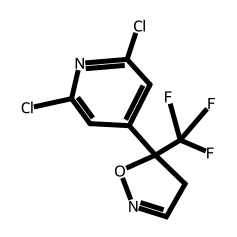 FC(F)(F)C1(c2cc(Cl)nc(Cl)c2)CC=NO1